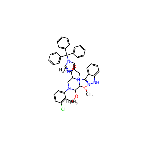 COC1C(OC)[N+](Cc2cn(C(c3ccccc3)(c3ccccc3)c3ccccc3)cn2)(c2n[nH]c3ccccc23)C(C(C)=O)CN1c1cccc(Cl)c1C